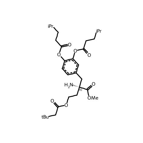 COC(=O)[C@@](N)(CCOC(=O)CC(C)(C)C)Cc1ccc(OC(=O)CCC(C)C)c(OC(=O)CCC(C)C)c1